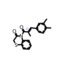 C/C(=C\c1ccc(C)c(C)c1)C(=O)N1C(=O)CSc2ccccc21